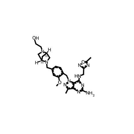 COc1cc(CN2C[C@@H]3C[C@H]2CN3CCO)ccc1Cn1nc(C)c2nc(N)nc(NCc3noc(C)n3)c21